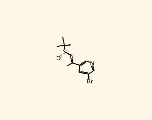 C/C(=N\[S@+]([O-])C(C)(C)C)c1cncc(Br)c1